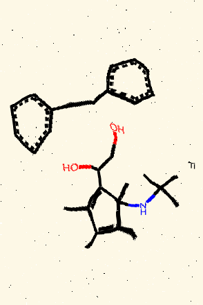 CC1=C(C)C(C)(NC(C)(C)C)C(C(O)CO)=C1C.[Ti].c1ccc(CCc2ccccc2)cc1